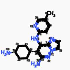 Cc1ccc(Nc2c3nccn3nc(N)c2[C@H]2CC[C@@H](N)CC2)nc1